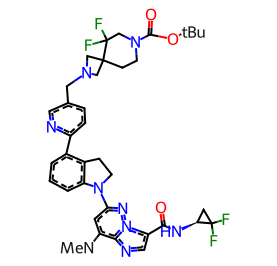 CNc1cc(N2CCc3c(-c4ccc(CN5CC6(CCN(C(=O)OC(C)(C)C)CC6(F)F)C5)cn4)cccc32)nn2c(C(=O)N[C@H]3CC3(F)F)cnc12